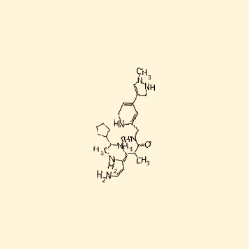 CC(C(=O)NCC1=CC(C2=CN(C)NC2)=CCN1)/C(=C(N)\C=C/N)N(C)C(C)C1CCCC1